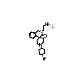 CC(C)[C@H]1CC[C@@H](N2CCC3(CC2)C(=O)N(CCN)Cc2ccccc23)CC1